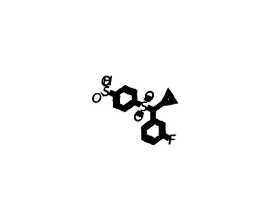 O=[SH](=O)c1ccc(S(=O)(=O)C(c2cccc(F)c2)C2CC2)cc1